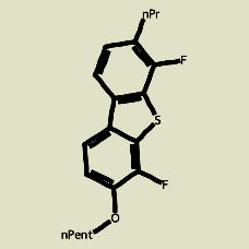 CCCCCOc1ccc2c(sc3c(F)c(CCC)ccc32)c1F